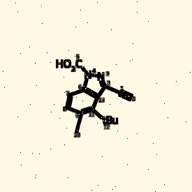 C#Cc1nn(C(=O)O)c2ccc(C)c(C(C)(C)C)c12